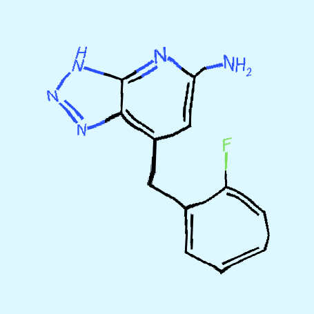 Nc1cc(Cc2ccccc2F)c2nn[nH]c2n1